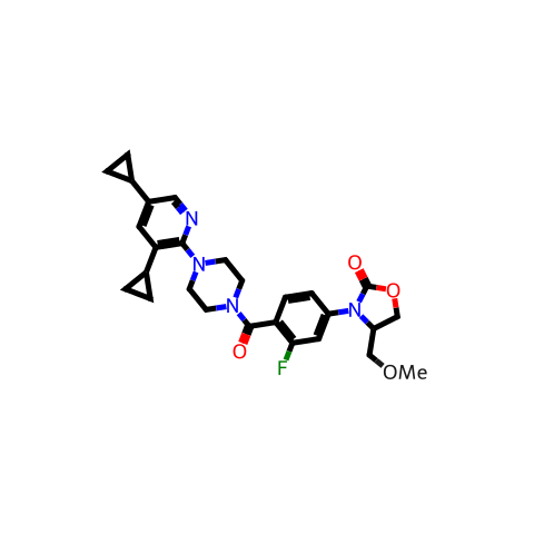 COCC1COC(=O)N1c1ccc(C(=O)N2CCN(c3ncc(C4CC4)cc3C3CC3)CC2)c(F)c1